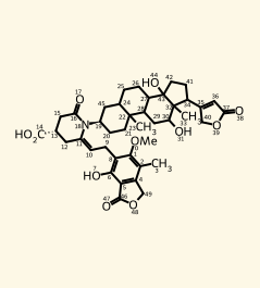 COc1c(C)c2c(c(O)c1C/C=C1/C[C@H](C(=O)O)CC(=O)N1[C@@H]1CCC3(C)C(CCC4C3CC(O)C3(C)C(C5=CC(=O)OC5)CCC43O)C1)C(=O)OC2